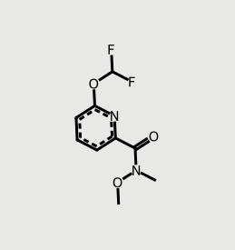 CON(C)C(=O)c1cccc(OC(F)F)n1